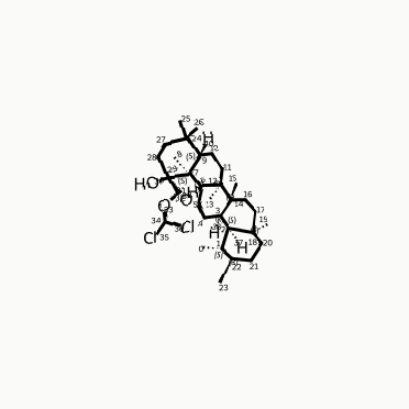 C[C@@H]1[C@H]2[C@H]3CC[C@@H]4[C@]5(C)[C@@H](CC[C@@]4(C)[C@]3(C)CC[C@@]2(C)CC[C@H]1C)C(C)(C)CCC5(O)C(=O)OC(Cl)Cl